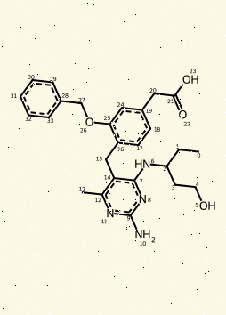 CCC(CCO)Nc1nc(N)nc(C)c1Cc1ccc(CC(=O)O)cc1OCc1ccccc1